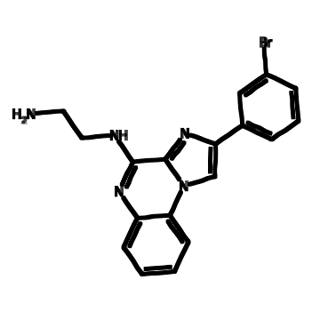 NCCNc1nc2ccccc2n2cc(-c3cccc(Br)c3)nc12